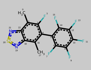 Cc1c(F)c(-c2c(F)c(F)c(F)c(F)c2F)c(C)c2nsnc12